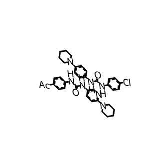 CC(=O)c1ccc(NC(=O)Nc2ccc(N3CCCCC3)nc2)cc1.O=C(Nc1ccc(Cl)cc1)Nc1ccc(N2CCCCC2)cc1